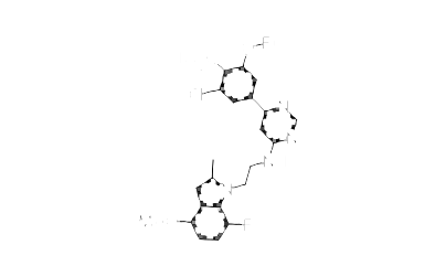 CCOc1cc(-c2cc(NCCn3c(C)cc4c(OC)ccc(F)c43)ncn2)cc(Cl)c1C(=O)O